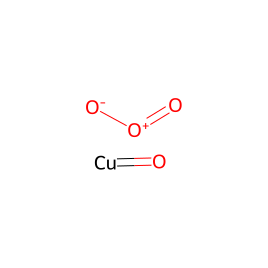 O=[O+][O-].[O]=[Cu]